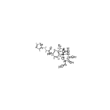 O=C(CCc1ccc[te]1)Nc1ccc([C@@]2(O)O[C@H](CO)[C@H](O)[C@H](O)[C@H]2O)c(C(F)F)c1